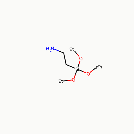 CCCO[Si](CCN)(OCC)OCC